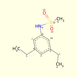 CCc1cc(CC)cc(NS(C)(=O)=O)c1